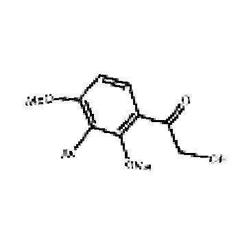 COc1ccc(C(=O)CO)c(OC)c1C(C)=O